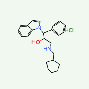 Cl.OC(CNCC1CCCCC1)C(c1ccccc1)n1ccc2ccccc21